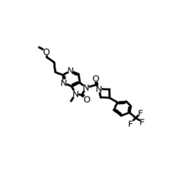 COCCCc1ncc2c(n1)n(C)c(=O)n2C(=O)N1CC(c2ccc(C(F)(F)F)cc2)C1